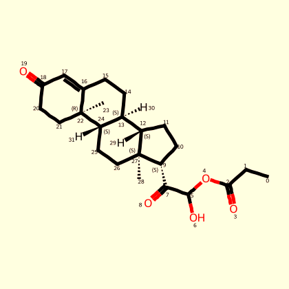 CCC(=O)OC(O)C(=O)[C@H]1CC[C@H]2[C@@H]3CCC4=CC(=O)CC[C@]4(C)[C@H]3CC[C@]12C